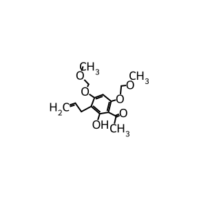 C=CCc1c(OCOC)cc(OCOC)c(C(C)=O)c1O